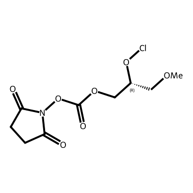 COC[C@H](COC(=O)ON1C(=O)CCC1=O)OCl